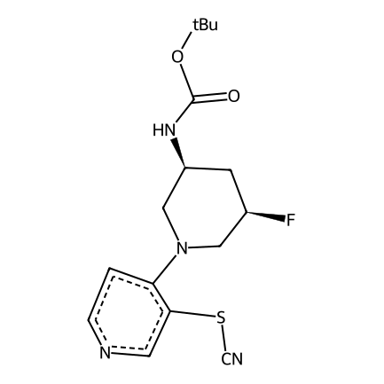 CC(C)(C)OC(=O)N[C@H]1C[C@@H](F)CN(c2ccncc2SC#N)C1